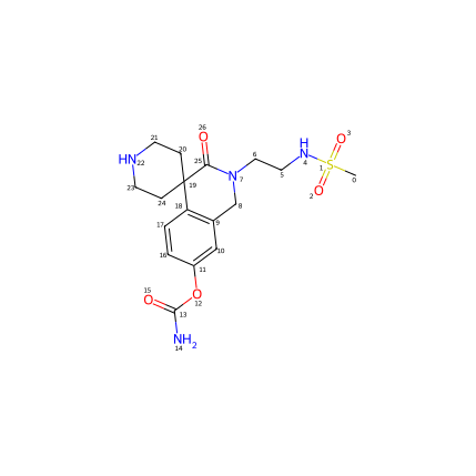 CS(=O)(=O)NCCN1Cc2cc(OC(N)=O)ccc2C2(CCNCC2)C1=O